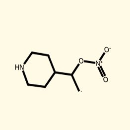 [CH2]C(O[N+](=O)[O-])C1CCNCC1